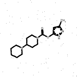 Cc1cc(OC(=O)N2CCC(N3CCCCC3)CC2)[nH]n1